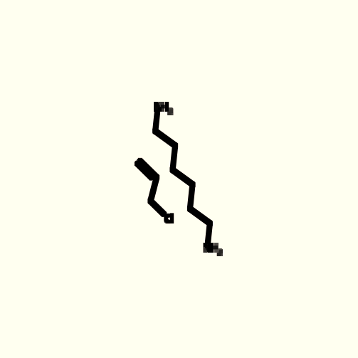 C=CCCl.NCCCCCCN